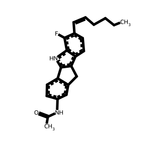 CCCC/C=C\c1ccc2c3c([nH]c2c1F)-c1ccc(NC(C)=O)cc1C3